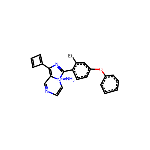 CCc1cc(Oc2ccccc2)ccc1C1=NC(C2=CC=C2)=C2C=NC=C[N+]12N